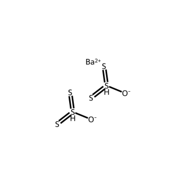 [Ba+2].[O-][SH](=S)=S.[O-][SH](=S)=S